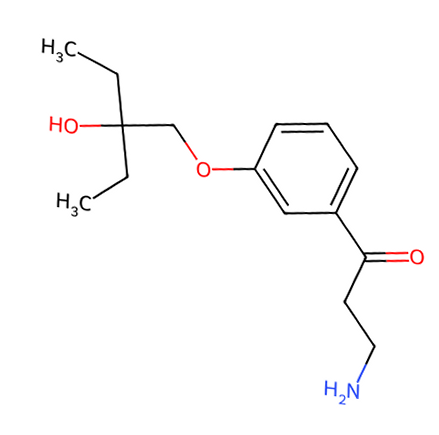 CCC(O)(CC)COc1cccc(C(=O)CCN)c1